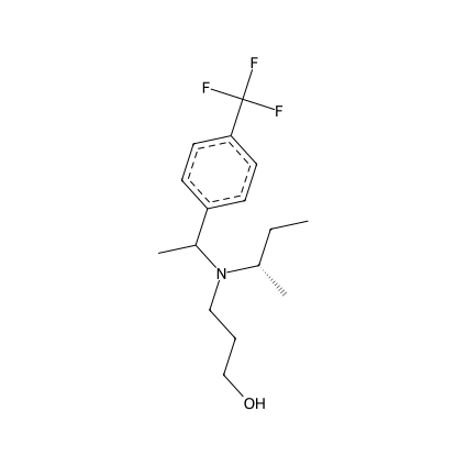 CC[C@H](C)N(CCCO)C(C)c1ccc(C(F)(F)F)cc1